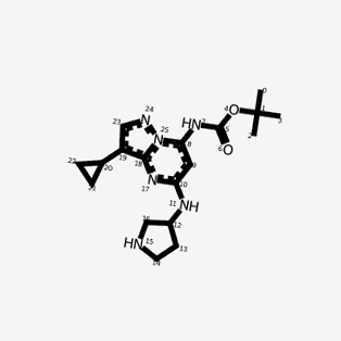 CC(C)(C)OC(=O)Nc1cc(NC2CCNC2)nc2c(C3CC3)cnn12